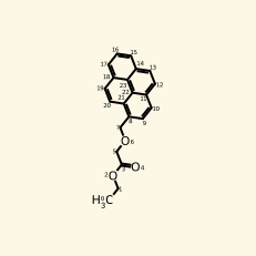 CCOC(=O)COCc1ccc2ccc3cccc4ccc1c2c34